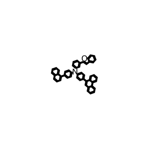 c1cc(-c2cc3ccccc3o2)cc(N(c2ccc(-c3cccc4ccccc34)cc2)c2ccc(-c3cc4ccccc4c4ccccc34)cc2)c1